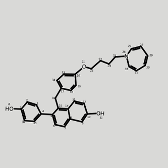 Oc1ccc(-c2ccc3cc(O)ccc3c2Cc2ccc(OCCCCN3C=CC=CC=C3)cc2)cc1